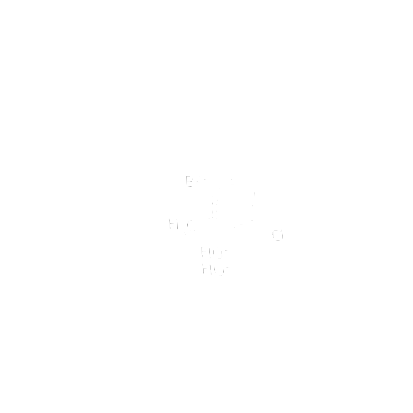 [B+2]c1ccc(Cl)cc1C.[OH-].[OH-]